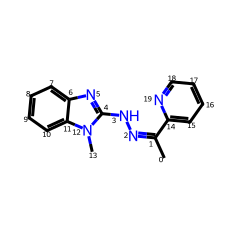 C/C(=N/Nc1nc2ccccc2n1C)c1ccccn1